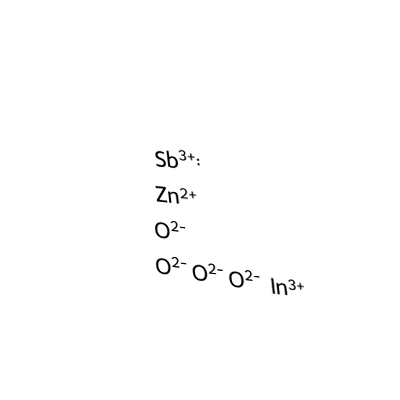 [In+3].[O-2].[O-2].[O-2].[O-2].[Sb+3].[Zn+2]